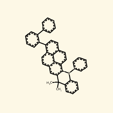 CC1(C)c2ccccc2B(c2ccccc2)c2c1cc1ccc3c(-c4ccccc4-c4ccccc4)ccc4ccc2c1c43